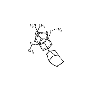 COc1cc(N2C3CCC2CC(c2cnc(N)nc2)C3)cc(OC)c1OC